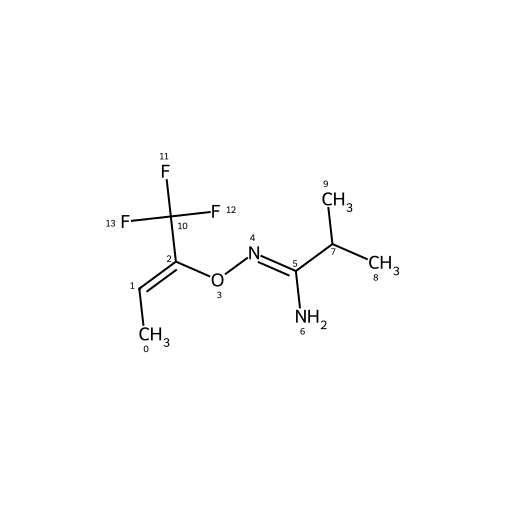 C/C=C(\O/N=C(\N)C(C)C)C(F)(F)F